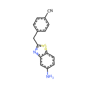 N#Cc1ccc(Cc2nc3cc(N)ccc3s2)cc1